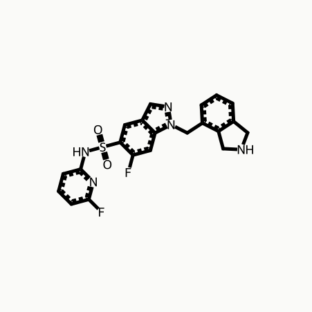 O=S(=O)(Nc1cccc(F)n1)c1cc2cnn(Cc3cccc4c3CNC4)c2cc1F